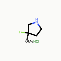 COC1(F)CCNC1.Cl